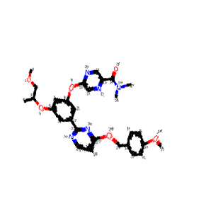 COCC(C)Oc1cc(Oc2cnc(C(=O)N(C)C)cn2)cc(-c2nccc(OCc3ccc(OC)cc3)n2)c1